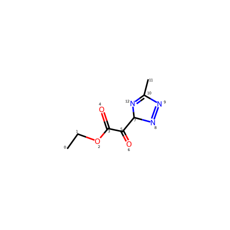 CCOC(=O)C(=O)C1N=NC(C)=N1